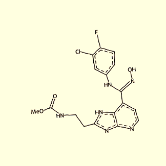 COC(=O)NCCc1nc2nccc(/C(=N/O)Nc3ccc(F)c(Cl)c3)c2[nH]1